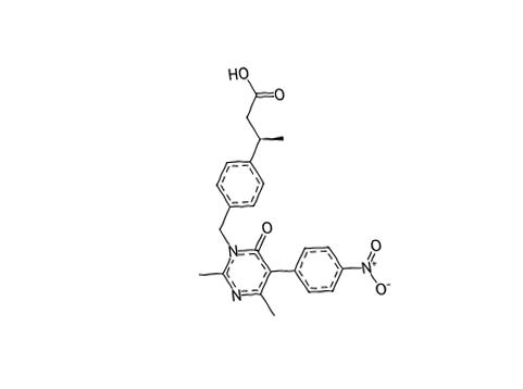 Cc1nc(C)n(Cc2ccc([C@H](C)CC(=O)O)cc2)c(=O)c1-c1ccc([N+](=O)[O-])cc1